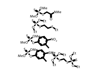 CCOP(=S)(OCC)SCCSCC.CCOP(=S)(OCC)SCSP(=S)(OCC)OCC.CNC(=O)CSP(=S)(OC)OC.COP(=S)(OC)Oc1ccc(SC)c(C)c1.COP(=S)(OC)Oc1ccc([N+](=O)[O-])c(C)c1